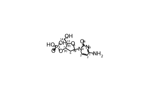 Nc1ccn([C@H]2C[C@@H](OP(=O)(O)O)[C@@H](CO)O2)c(=O)n1